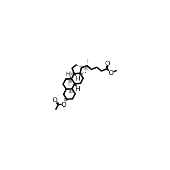 COC(=O)CCC[C@@H](C)[C@H]1CC[C@H]2[C@@H]3CCC4C[C@@H](OC(C)=O)CC[C@]4(C)[C@H]3CC[C@]12C